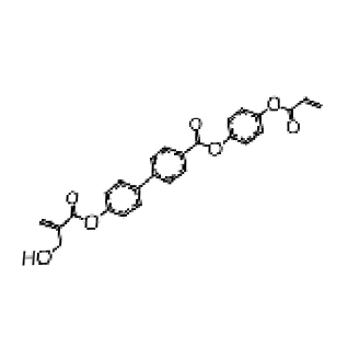 C=CC(=O)Oc1ccc(OC(=O)c2ccc(-c3ccc(OC(=O)C(=C)CO)cc3)cc2)cc1